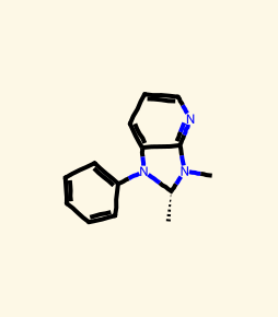 C[C@H]1N(C)c2ncccc2N1c1ccccc1